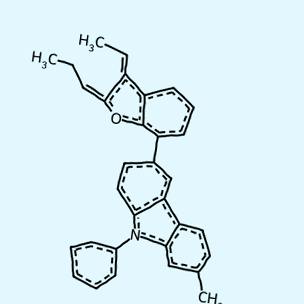 C/C=c1\c(=C/CC)oc2c(-c3ccc4c(c3)c3ccc(C)cc3n4-c3ccccc3)cccc12